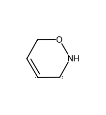 [C]1[C]=CCON1